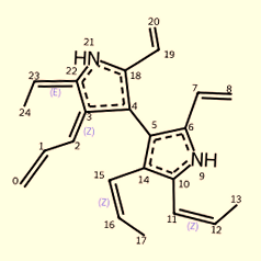 C=C/C=c1/c(-c2c(C=C)[nH]c(/C=C\C)c2/C=C\C)c(C=C)[nH]/c1=C/C